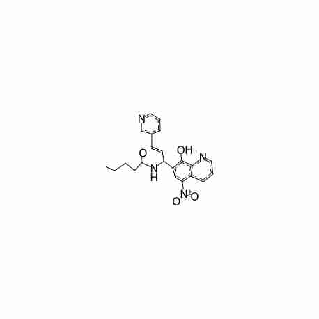 CCCCC(=O)NC(C=Cc1cccnc1)c1cc([N+](=O)[O-])c2cccnc2c1O